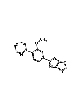 COc1cc(-c2cn3ncsc3n2)ccc1-c1ccccn1